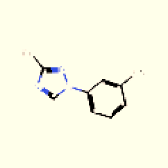 CC(C)c1ncn(-c2cccc(C#N)c2)n1